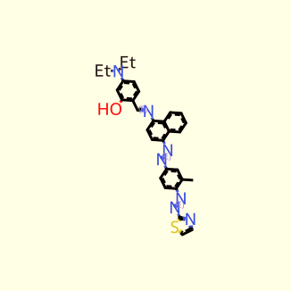 CCN(CC)c1ccc(/C=N/c2ccc(/N=N/c3ccc(/N=N/c4nccs4)c(C)c3)c3ccccc23)c(O)c1